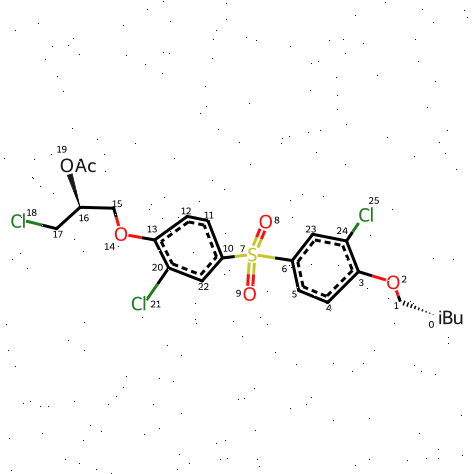 CC[C@@H](C)COc1ccc(S(=O)(=O)c2ccc(OC[C@@H](CCl)OC(C)=O)c(Cl)c2)cc1Cl